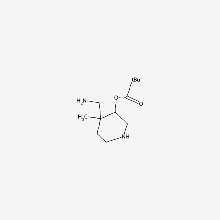 CC(C)(C)C(=O)OC1CNCCC1(C)CN